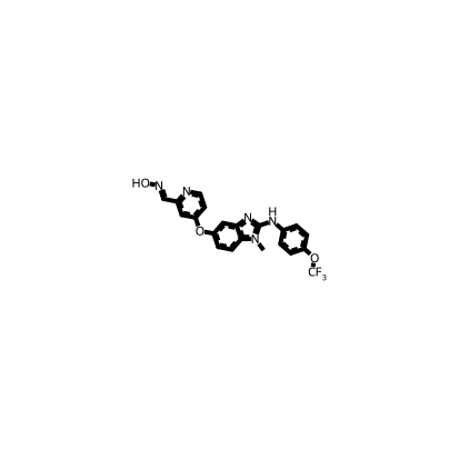 Cn1c(Nc2ccc(OC(F)(F)F)cc2)nc2cc(Oc3ccnc(C=NO)c3)ccc21